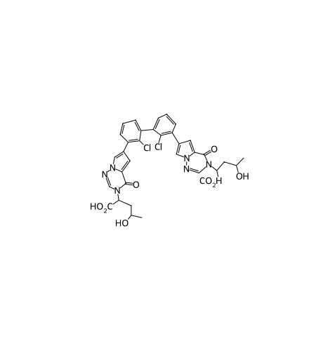 CC(O)CC(C(=O)O)n1cnn2cc(-c3cccc(-c4cccc(-c5cc6c(=O)n(C(CC(C)O)C(=O)O)cnn6c5)c4Cl)c3Cl)cc2c1=O